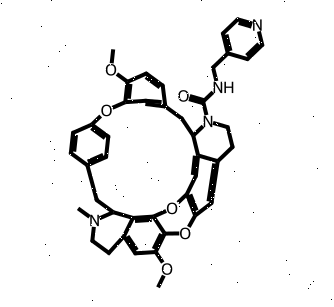 COc1ccc2cc1Oc1ccc(cc1)CC1c3c(cc(OC)c4c3Oc3cc5c(cc3O4)CCN(C(=O)NCc3ccncc3)C5C2)CCN1C